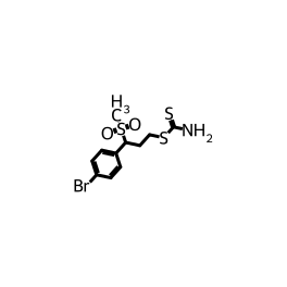 CS(=O)(=O)C(CCSC(N)=S)c1ccc(Br)cc1